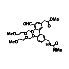 CNC(=O)NCc1ccc(OCOCCOC)c(-c2cc(CC(=O)OC)cc(C=O)c2OCOCCOC)c1